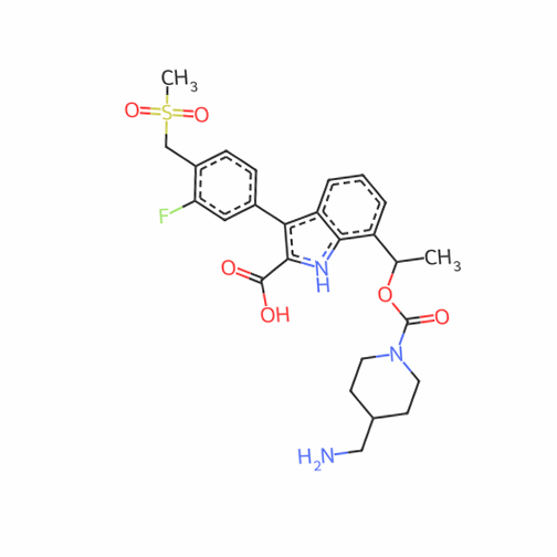 CC(OC(=O)N1CCC(CN)CC1)c1cccc2c(-c3ccc(CS(C)(=O)=O)c(F)c3)c(C(=O)O)[nH]c12